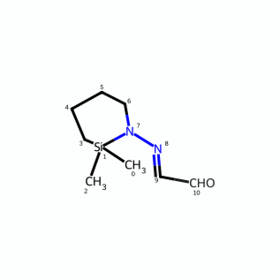 C[Si]1(C)CCCCN1N=CC=O